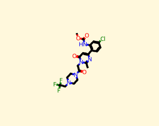 COC(=O)Nc1cc(Cl)ccc1-c1cc(=O)n(CC(=O)N2CCN(CC(F)(F)F)CC2)c(C)n1